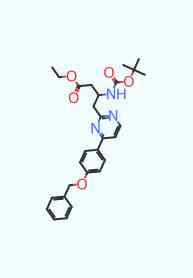 CCOC(=O)CC(Cc1nccc(-c2ccc(OCc3ccccc3)cc2)n1)NC(=O)OC(C)(C)C